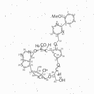 COc1ccccc1-c1nccc(COc2ccc3cc2C[C@H](C(=O)O)Oc2ncnc4scc(c24)-c2ccc(c(Cl)c2C)O[C@H](CO)CO3)n1